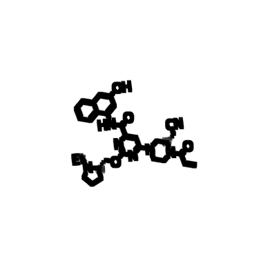 C=CC(=O)N1CCN(c2cc(C(=O)Nc3cc(O)cc4ccccc34)nc(OC[C@@H]3CCCN3CC)n2)C[C@@H]1CC#N